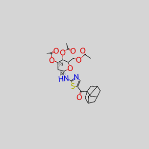 CC(=O)OCC1O[C@H](Nc2ncc(C(=O)C34CC5CC(CC(C5)C3)C4)s2)C[C@@H](OC(C)=O)C1OC(C)=O